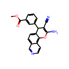 COC(=O)c1cccc(C2C(C#N)=C(N)Oc3c2ccc2cnccc32)c1